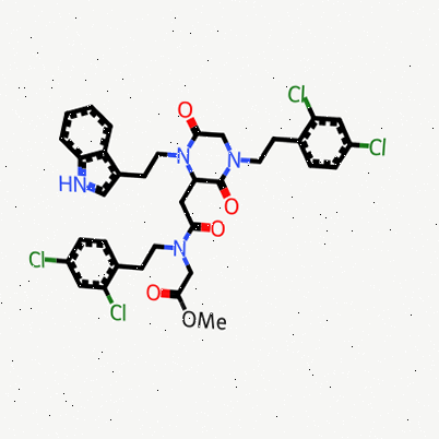 COC(=O)CN(CCc1ccc(Cl)cc1Cl)C(=O)CC1C(=O)N(CCc2ccc(Cl)cc2Cl)CC(=O)N1CCc1c[nH]c2ccccc12